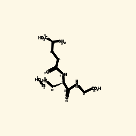 CCO.N[C@@H](CCC(=O)N[C@@H](CS)C(=O)NCC(=O)O)C(=O)O